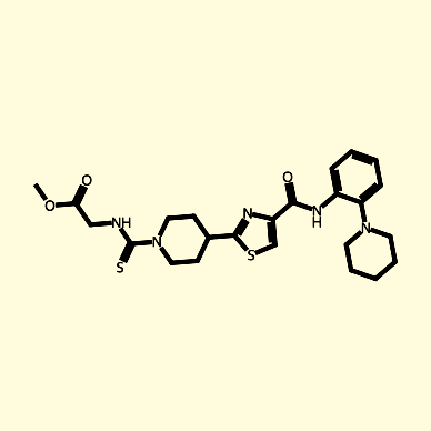 COC(=O)CNC(=S)N1CCC(c2nc(C(=O)Nc3ccccc3N3CCCCC3)cs2)CC1